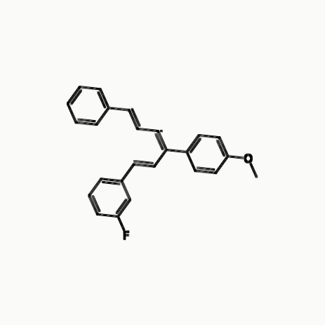 COc1ccc(C(=[C]C=Cc2ccccc2)C=Cc2cccc(F)c2)cc1